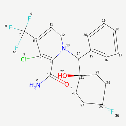 NC(=O)C1=C(Cl)C(C(F)(F)F)=CCN1C(c1ccccc1)[C@]1(O)CC[C@H](F)CC1